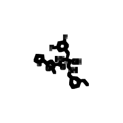 CCc1cccc(CNC[C@@H](O)[C@H](Cc2cc(F)cc(F)c2)NC(=O)c2cc(-c3cccs3)oc2C)c1